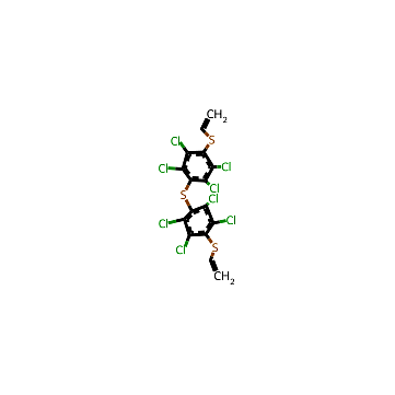 C=CSc1c(Cl)c(Cl)c(Sc2c(Cl)c(Cl)c(SC=C)c(Cl)c2Cl)c(Cl)c1Cl